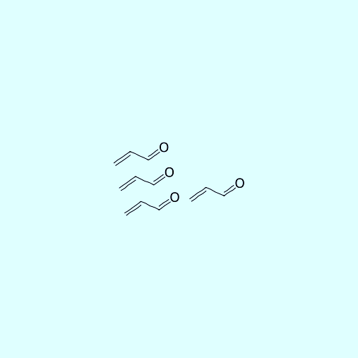 C=CC=O.C=CC=O.C=CC=O.C=CC=O